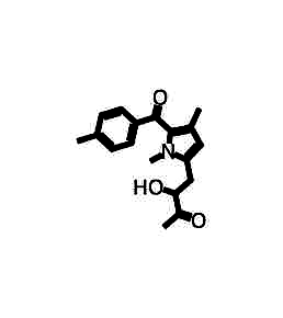 CC(=O)C(O)Cc1cc(C)c(C(=O)c2ccc(C)cc2)n1C